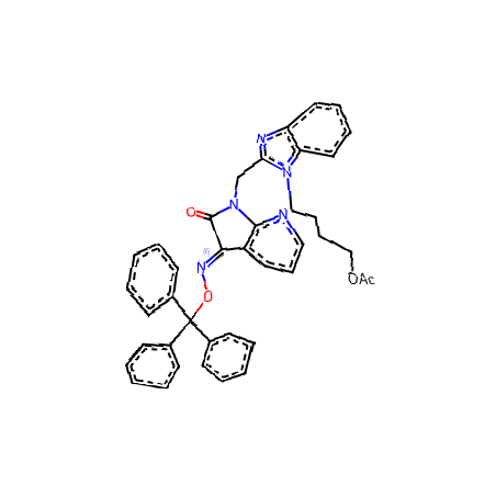 CC(=O)OCCCCn1c(CN2C(=O)/C(=N/OC(c3ccccc3)(c3ccccc3)c3ccccc3)c3cccnc32)nc2ccccc21